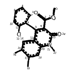 COC(=O)c1c(-c2ccccc2Cl)c2cc(C)c(C)cc2n(C)c1=O